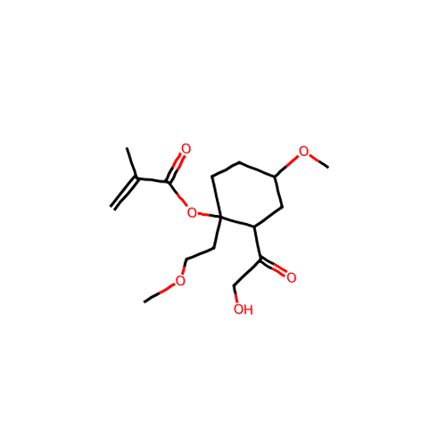 C=C(C)C(=O)OC1(CCOC)CCC(OC)CC1C(=O)CO